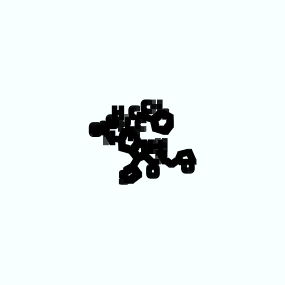 CC(C)(C)c1ccccc1.O=C(NCC1CCCO1)c1[nH]c2ncc(N=S(=O)=O)cc2c1-c1ccsc1